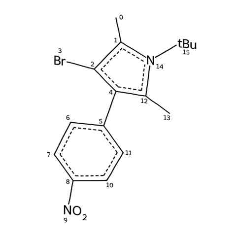 Cc1c(Br)c(-c2ccc([N+](=O)[O-])cc2)c(C)n1C(C)(C)C